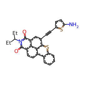 CCC(CC)n1c(=O)c2ccc3c4ccccc4sc4c(C#Cc5ccc(N)s5)cc(c1=O)c2c43